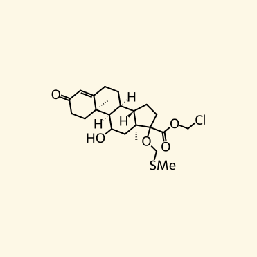 CSCOC1(C(=O)OCCl)CC[C@H]2[C@@H]3CCC4=CC(=O)CC[C@]4(C)[C@@H]3C(O)C[C@@]21C